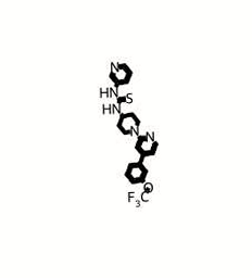 FC(F)(F)Oc1cccc(-c2ccnc(N3CCC(NC(=S)Nc4cccnc4)CC3)c2)c1